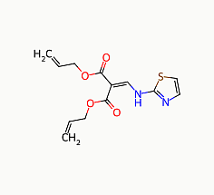 C=CCOC(=O)C(=CNc1nccs1)C(=O)OCC=C